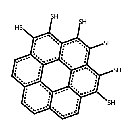 Sc1c(S)c2c(S)c(S)c3c(S)c(S)c4ccc5ccc6ccc1c1c6c5c4c3c21